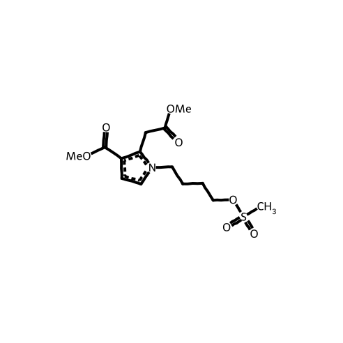 COC(=O)Cc1c(C(=O)OC)ccn1CCCCOS(C)(=O)=O